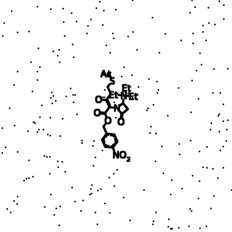 CC[N+](CC)(CC)C1CC(=O)N1/C(C(=O)OCc1ccc([N+](=O)[O-])cc1)=C(/[O-])CCSC(C)=O